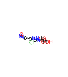 CN(C)S(C)(=O)=Nc1ccc(-c2ccc(-c3nc4[nH]c(O[C@@H]5CO[C@H]6[C@@H]5OC[C@H]6O)nc4cc3Cl)cc2)cc1